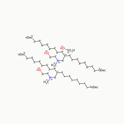 CCCCCCCCCCCCCCCCCCC(CCCCCCCCCCCCCCCCCC)CN(C)CCO.CCCCCCCCCCCCCCCCCCC(CCCCCCCCCCCCCCCCCC)CN(C)CCO.O=S(=O)(O)O